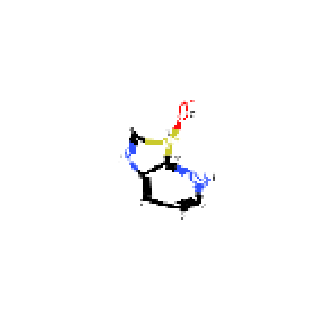 [O-][s+]1cnc2cccnc21